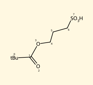 CC(C)(C)C(=O)OCCCS(=O)(=O)O